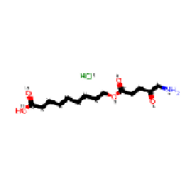 Cl.NCC(=O)CCC(=O)OCCCCCCCCC(=O)O